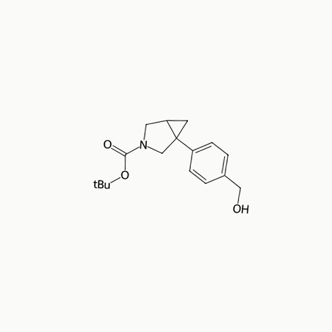 CC(C)(C)OC(=O)N1CC2CC2(c2ccc(CO)cc2)C1